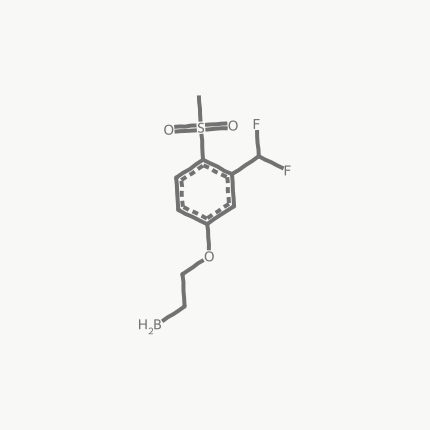 BCCOc1ccc(S(C)(=O)=O)c(C(F)F)c1